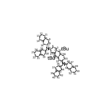 CC(C)(C)c1c2ccc(N(c3ccc4ccccc4c3)c3ccc4ccccc4c3)cc2c(C(C)(C)C)c2cc(N(c3ccc4ccccc4c3)C3C=Cc4ccccc4C3)ccc12